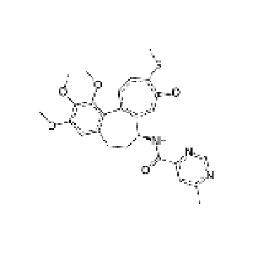 COc1cc2c(c(OC)c1OC)-c1ccc(SC)c(=O)cc1[C@@H](NC(=O)c1cc(C)ncn1)CC2